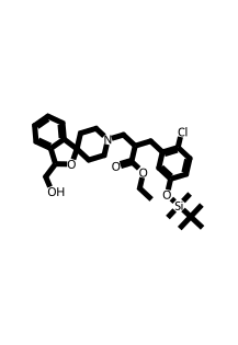 CCOC(=O)C(Cc1cc(O[Si](C)(C)C(C)(C)C)ccc1Cl)CN1CCC2(CC1)OC(CO)c1ccccc12